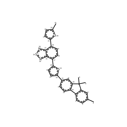 Cc1ccc2c(c1)C(C)(C)c1cc(-c3ccc(-c4ccc(-c5ccc(C)s5)c5nsnc45)s3)ccc1-2